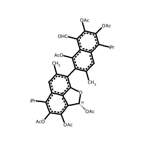 CC(=O)Oc1c(OC(C)=O)c(C=O)c2c(OC(C)=O)c(-c3c(C)cc4c(C(C)C)c(OC(C)=O)c(OC(C)=O)c5c4c3O[C@@H]5OC(C)=O)c(C)cc2c1C(C)C